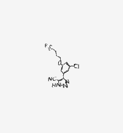 N#Cc1[nH]nnc1-c1cc(Cl)cc(OCCCC(F)(F)F)c1